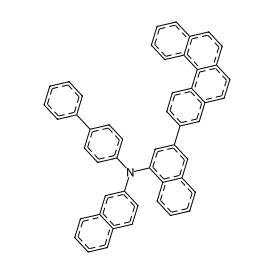 c1ccc(-c2ccc(N(c3ccc4ccccc4c3)c3cc(-c4ccc5c(ccc6ccc7ccccc7c65)c4)cc4ccccc34)cc2)cc1